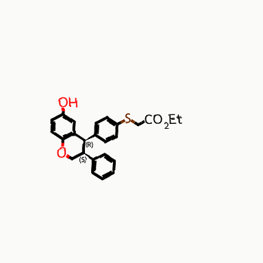 CCOC(=O)CSc1ccc([C@@H]2c3cc(O)ccc3OC[C@@H]2c2ccccc2)cc1